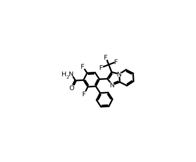 NC(=O)c1c(F)cc(-c2nc3ccccn3c2C(F)(F)F)c(-c2ccccc2)c1F